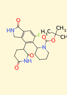 CC(C)(C)OC(=O)N1CCCCC1c1c(F)cc2c(c1C1CCC(=O)NC1=O)CNC2=O